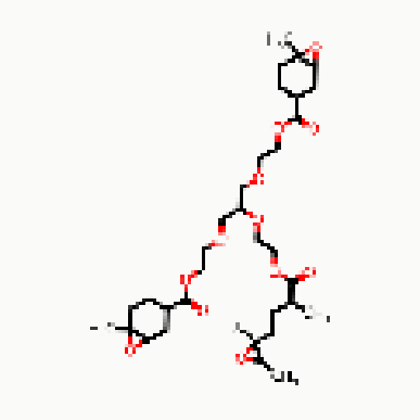 CC(CCC1(C)OC1C)C(=O)OCCOC(COCCOC(=O)C1CCC2(C)OC2C1)COCCOC(=O)C1CCC2(C)OC2C1